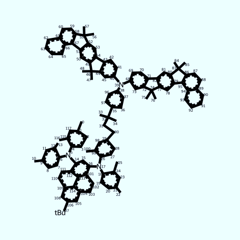 Cc1ccc(N(c2ccc(C)cc2C)c2cc(N(c3ccc(C)cc3C)c3ccc(CCC(C)(C)c4ccc(N(c5ccc6c(c5)C(C)(C)c5cc7c(cc5-6)C(C)(C)c5ccc6ccccc6c5-7)c5ccc6c(c5)C(C)(C)c5cc7c(cc5-6)C(C)(C)c5ccc6ccccc6c5-7)cc4)cc3C)c3ccc4cc(C(C)(C)C)cc5ccc2c3c54)c(C)c1